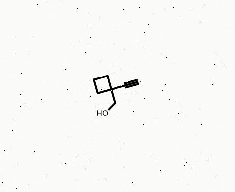 [C]#CC1(CO)CCC1